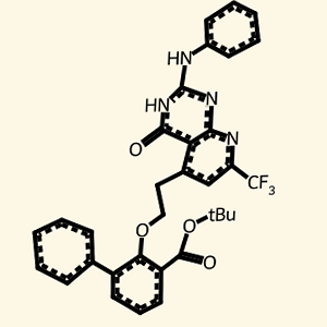 CC(C)(C)OC(=O)c1cccc(-c2ccccc2)c1OCCc1cc(C(F)(F)F)nc2nc(Nc3ccccc3)[nH]c(=O)c12